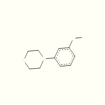 C[C@@H]1CN(c2cccc(OC(F)(F)F)c2)CCN1